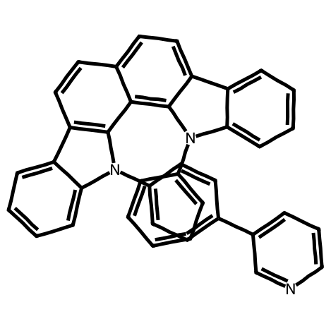 c1ccc(-n2c3ccccc3c3ccc4ccc5c6ccccc6n(-c6ccc(-c7cccnc7)cc6)c5c4c32)cc1